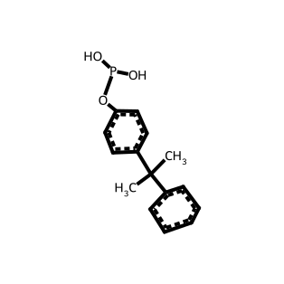 CC(C)(c1ccccc1)c1ccc(OP(O)O)cc1